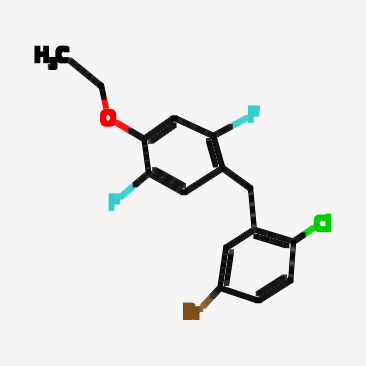 CCOc1cc(F)c(Cc2cc(Br)ccc2Cl)cc1F